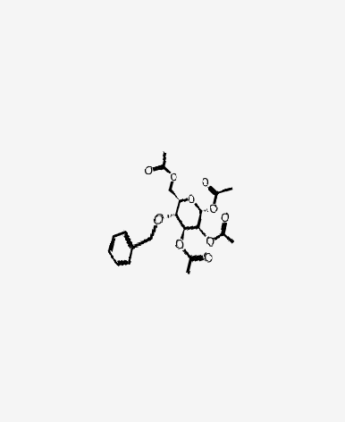 CC(=O)OC[C@H]1O[C@H](OC(C)=O)[C@@H](OC(C)=O)[C@@H](OC(C)=O)[C@@H]1OCc1ccccc1